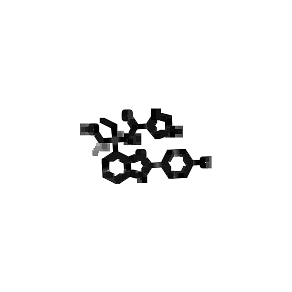 CC[C@@](NC(=O)c1c[nH]cn1)(c1cccc2nc(-c3ccc(Cl)cc3)oc12)[C@H](C)O